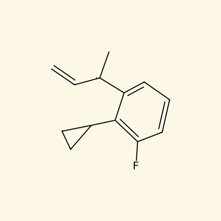 C=C[C](C)c1cccc(F)c1C1CC1